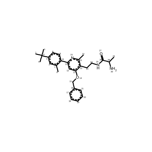 Cc1cc(C(C)(C)C)ccc1-c1cc(OCc2ccccc2)c(CCNC(=O)C(C)N)c(C)n1